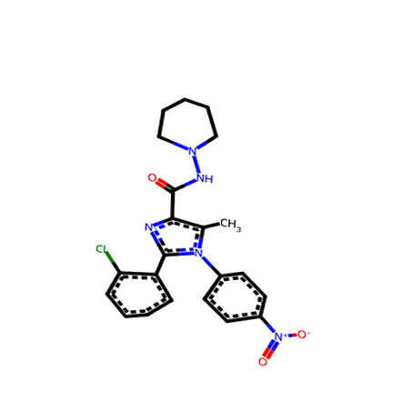 Cc1c(C(=O)NN2CCCCC2)nc(-c2ccccc2Cl)n1-c1ccc([N+](=O)[O-])cc1